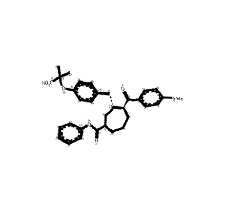 CSc1ccc(C(=O)[C@H]2CCCC(C(=O)Oc3ccccc3)C[C@@H]2Cc2ccc(OC(C)(C)C(=O)O)cc2)cc1